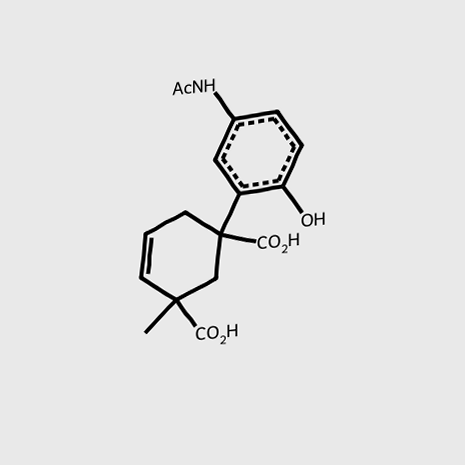 CC(=O)Nc1ccc(O)c(C2(C(=O)O)CC=CC(C)(C(=O)O)C2)c1